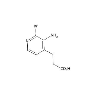 Nc1c(CCC(=O)O)ccnc1Br